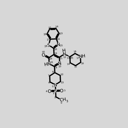 CCS(=O)(=O)N1CCC(c2nc(N[C@@H]3CCCNC3)c(-c3nc4ccccc4s3)c(=O)[nH]2)CC1